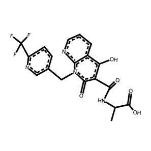 CC(NC(=O)c1c(O)c2cccnc2n(Cc2ccc(C(F)(F)F)nc2)c1=O)C(=O)O